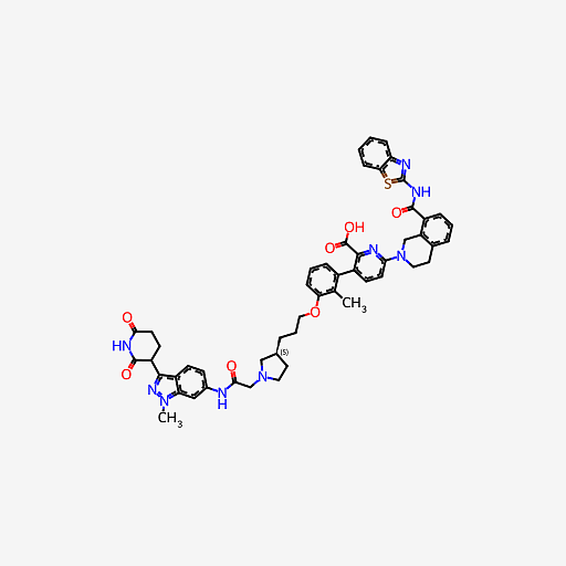 Cc1c(OCCC[C@H]2CCN(CC(=O)Nc3ccc4c(C5CCC(=O)NC5=O)nn(C)c4c3)C2)cccc1-c1ccc(N2CCc3cccc(C(=O)Nc4nc5ccccc5s4)c3C2)nc1C(=O)O